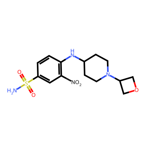 NS(=O)(=O)c1ccc(NC2CCN(C3COC3)CC2)c([N+](=O)[O-])c1